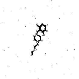 CCOCCN1CCN(Cc2c(C)cccc2C)CC1